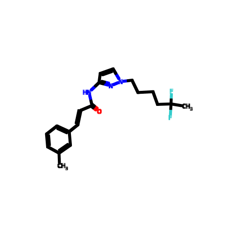 Cc1cccc(/C=C/C(=O)Nc2ccn(CCCCC(C)(F)F)n2)c1